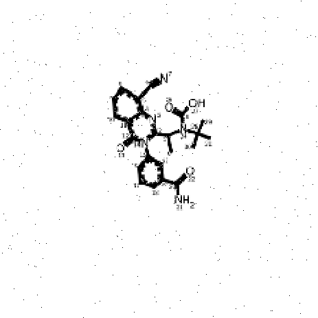 CC(c1nc2c(C#N)cccc2c(=O)n1-c1cccc(C(N)=O)c1)N(C(=O)O)C(C)(C)C